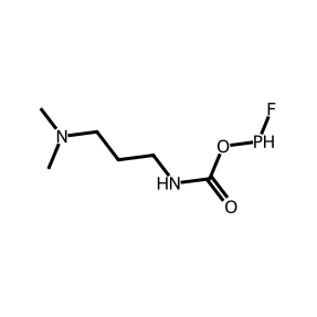 CN(C)CCCNC(=O)OPF